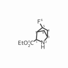 CCOC(=O)C1NC2CC(F)C1C2